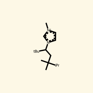 CC(C)C(C)(C)CC(n1cc[n+](C)c1)C(C)(C)C